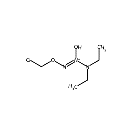 CCN(CC)[N+](O)=NOCCl